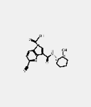 N#Cc1ccc2c(n1)c(C(=O)N[C@H]1CCCC[C@@H]1O)cn2C(=O)O